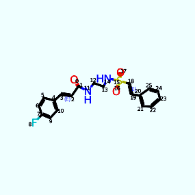 O=C(/C=C/c1ccc(F)cc1)NCCNS(=O)(=O)/C=C/c1ccccc1